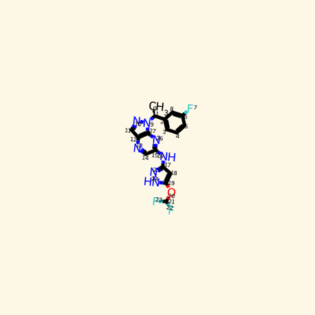 C[C@@H](c1cccc(F)c1)n1ncc2ncc(Nc3cc(OC(F)F)[nH]n3)nc21